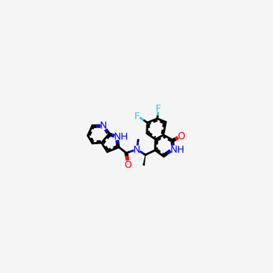 C[C@H](c1c[nH]c(=O)c2cc(F)c(F)cc12)N(C)C(=O)c1cc2cccnc2[nH]1